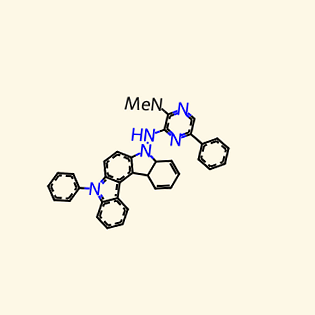 CNc1ncc(-c2ccccc2)nc1NN1c2ccc3c(c2C2C=CC=CC21)c1ccccc1n3-c1ccccc1